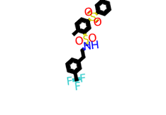 Cc1ccc(S(=O)(=O)c2ccccc2)cc1S(=O)(=O)NCCc1cccc(C(F)(F)F)c1